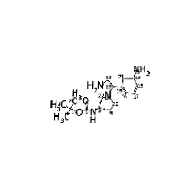 CC(C)(C)OC(=O)NC1CCN(C(CN)c2cccc(N)c2)C1